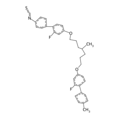 Cc1ccc(-c2ccc(OCCCC(C)CCCOc3ccc(-c4ccc(N=C=S)cc4)c(F)c3)cc2F)cc1